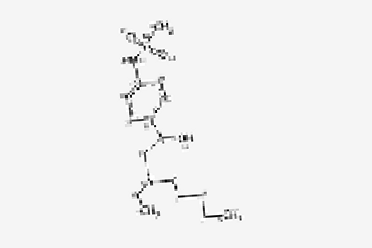 CCCCCN(CC)CC(O)c1ccc(NS(C)(=O)=O)cc1